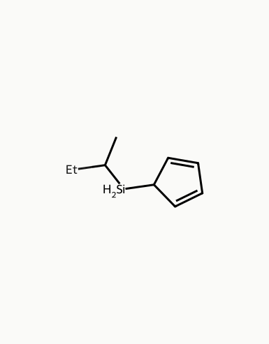 CCC(C)[SiH2]C1C=CC=C1